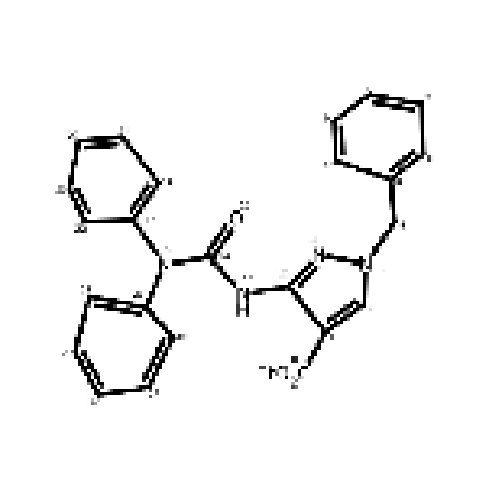 CCOC(=O)c1cn(Cc2ccccc2)nc1NC(=O)N(c1ccccc1)c1ccccc1